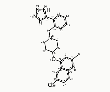 Cc1cc(OC2CCN(Cc3ccccc3-c3nnn[nH]3)CC2)c2cc(Cl)ccc2n1